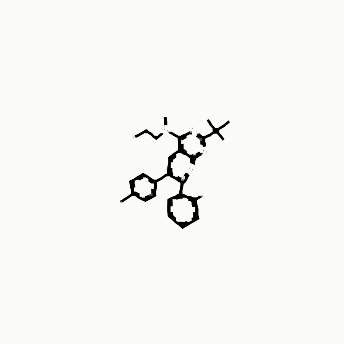 CN(CCO)c1nc(C(C)(C)C)nc2nc(-c3ccccc3Cl)c(-c3ccc(Cl)cc3)cc12